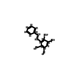 Fc1cc(F)c(F)c(SSc2ccccc2)c1F